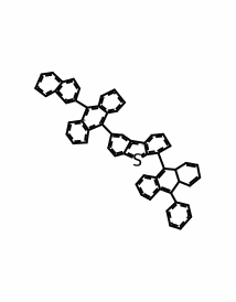 C1=CC2C(c3ccccc3)=c3ccccc3=C(c3cccc4c3sc3ccc(-c5c6ccccc6c(-c6ccc7ccccc7c6)c6ccccc56)cc34)C2C=C1